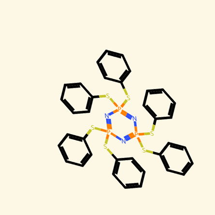 c1ccc(SP2(Sc3ccccc3)=NP(Sc3ccccc3)(Sc3ccccc3)=NP(Sc3ccccc3)(Sc3ccccc3)=N2)cc1